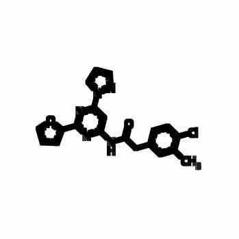 Cc1cc(CC(=O)Nc2cc(-n3cccn3)nc(-c3ccco3)n2)ccc1Cl